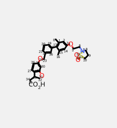 Cc1cc(OCCN2CCCS2(=O)=O)cc(C)c1-c1cccc(COc2ccc3c(c2)OCC3CC(=O)O)c1